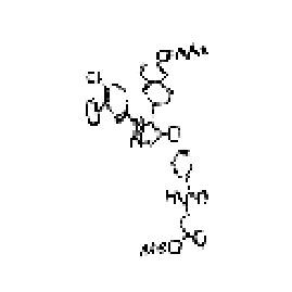 COC(=O)CCNC(=O)c1ccc(Oc2cnn(-c3ccc(Cl)c(Cl)c3)c2-c2ccc3cc(OC)ccc3c2)cc1